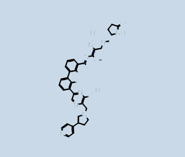 C=N/C(CNC[C@@H]1CCC(=O)N1)=C(\N=C(/C)c1cccc(-c2cccc(-c3cnc(CN4CCC(c5ccncc5)C4)c(OC)n3)c2Cl)c1Cl)OC